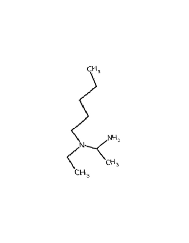 CCCCCN(CC)C(C)N